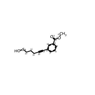 COC(=O)c1cccc(C#CCCCSO)c1